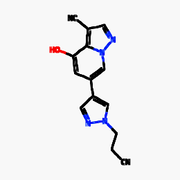 N#CCCn1cc(-c2cc(O)c3c(C#N)cnn3c2)cn1